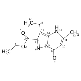 CCOC(=O)c1nn2c(=O)cc(C)[nH]c2c1CC